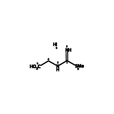 CSC(=N)NCC(=O)O.I